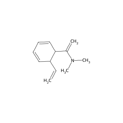 C=CC1C=CC=CC1C(=C)N(C)C